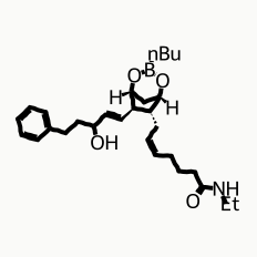 CCCCB1O[C@H]2C[C@@H](O1)[C@H](/C=C/C(O)CCc1ccccc1)[C@H]2C/C=C\CCCC(=O)NCC